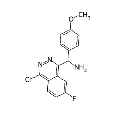 COc1ccc(C(N)c2nnc(Cl)c3ccc(F)cc23)cc1